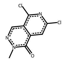 Cn1ncc2c(Cl)nc(Cl)cc2c1=O